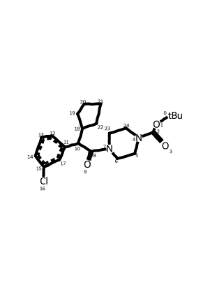 CC(C)(C)OC(=O)N1CCN(C(=O)C(c2cccc(Cl)c2)C2CCCC2)CC1